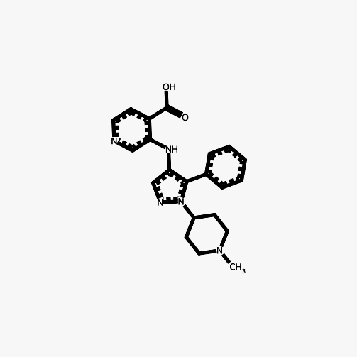 CN1CCC(n2ncc(Nc3cnccc3C(=O)O)c2-c2ccccc2)CC1